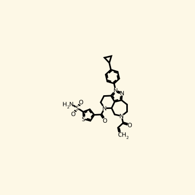 C=CC(=O)N1CCc2nn(-c3ccc(C4CC4)cc3)c3c2C(C1)N(C(=O)c1csc(S(N)(=O)=O)c1)CC3